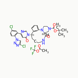 CC(=O)OC(F)(F)F.CC(C)(C)OC(=O)N1CCN2c3cccc(c3)[C@@H](n3cnc(-c4cc(Cl)ccc4-n4cc(Cl)nn4)cc3=O)CCCCNC(=O)[C@H]2C1